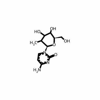 CC1C(O)C(O)[C@@H](CO)O[C@H]1n1ccc(N)nc1=O